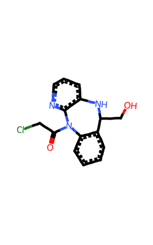 O=C(CCl)N1c2ccccc2C(CO)Nc2cccnc21